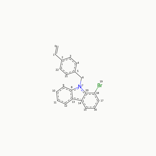 C=Cc1ccc(Cn2c3ccccc3c3cccc(Br)c32)cc1